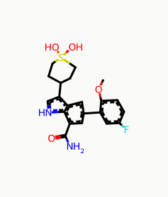 COc1ccc(F)cc1-c1cc(C(N)=O)c2[nH]cc(C3CCS(O)(O)CC3)c2c1